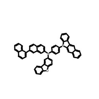 c1ccc2cc3c(cc2c1)c1ccccc1n3-c1ccc(N(c2ccc3ccc(-c4cccc5ccccc45)cc3c2)c2ccc3oc4ccccc4c3c2)cc1